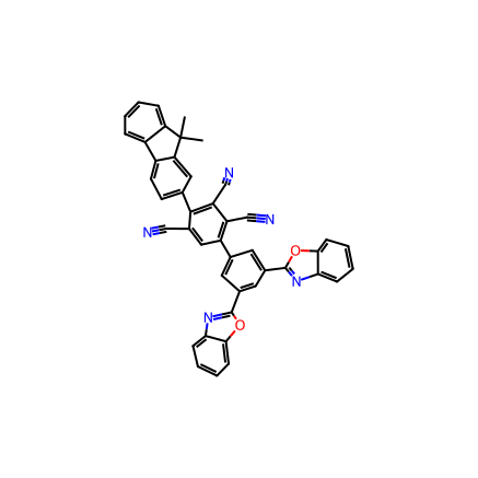 CC1(C)c2ccccc2-c2ccc(-c3c(C#N)cc(-c4cc(-c5nc6ccccc6o5)cc(-c5nc6ccccc6o5)c4)c(C#N)c3C#N)cc21